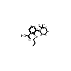 CCCOc1c(C(=O)O)cccc1N1CCCCC1(C)C